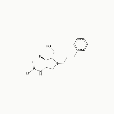 CCC(=O)N[C@H]1CN(CCCc2ccccc2)[C@@H](CO)[C@@H]1F